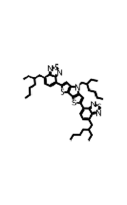 CCCCC(CC)Cc1ccc(-c2cc3c(s2)c2sc(-c4ccc(CC(CC)CCCC)c5nsnc45)cc2n3CC(CC)CCCC)c2nsnc12